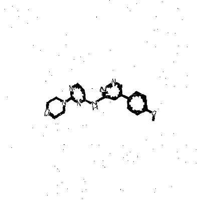 COc1ccc(-c2cnnc(Nc3ccnc(N4CCOCC4)n3)c2)cc1